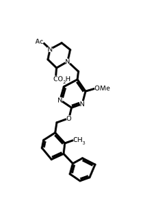 COc1nc(OCc2cccc(-c3ccccc3)c2C)ncc1CN1CCN(C(C)=O)CC1C(=O)O